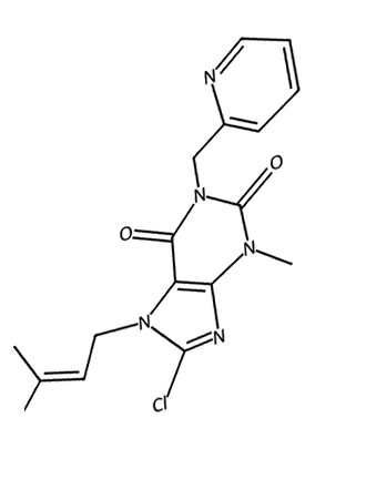 CC(C)=CCn1c(Cl)nc2c1c(=O)n(Cc1ccccn1)c(=O)n2C